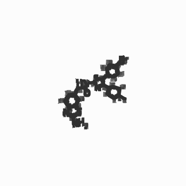 Cc1ccc(-c2nc(NC(=O)Cc3ccc4nc(N)sc4c3)sc2-c2ccc(Br)cc2)cc1